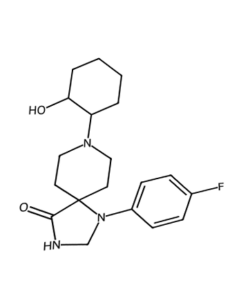 O=C1NCN(c2ccc(F)cc2)C12CCN(C1CCCCC1O)CC2